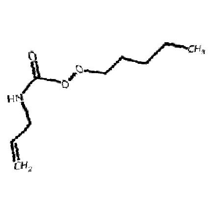 C=CCNC(=O)OOCCCCC